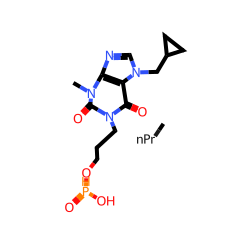 CCCC.Cn1c(=O)n(CCCO[PH](=O)O)c(=O)c2c1ncn2CC1CC1